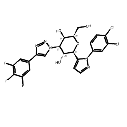 OC[C@H]1O[C@@H](c2ccnn2-c2ccc(Cl)c(Cl)c2)[C@H](O)[C@@H](n2cc(-c3cc(F)c(F)c(F)c3)nn2)[C@H]1O